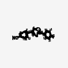 N#Cc1ccc(-c2coc(-c3ccc(F)cc3)n2)cc1